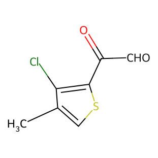 Cc1csc(C(=O)C=O)c1Cl